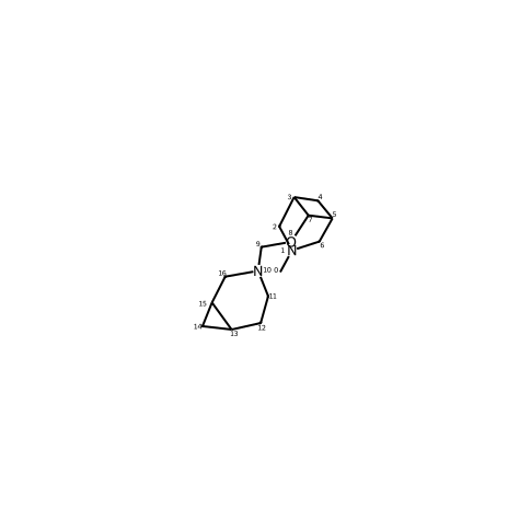 CN1CC2CC(C1)C2OCN1CCC2CC2C1